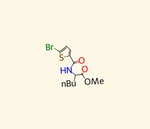 CCCCC(NC(=O)c1ccc(Br)s1)C(=O)OC